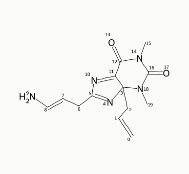 C=CCC12N=C(CC=CN)N=C1C(=O)N(C)C(=O)N2C